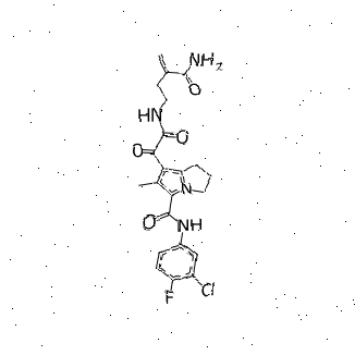 C=C(CCNC(=O)C(=O)c1c(C)c(C(=O)Nc2ccc(F)c(Cl)c2)n2c1CCC2)C(N)=O